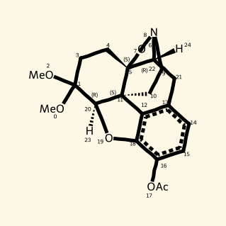 COC1(OC)CC[C@]23OCN4CC[C@@]25c2c(ccc(OC(C)=O)c2O[C@@H]15)C[C@@H]43